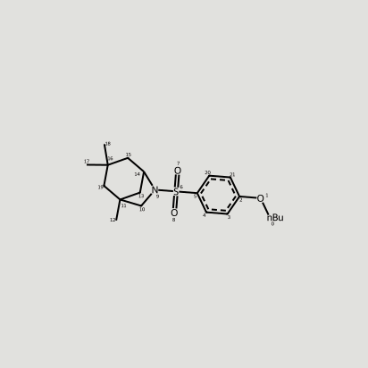 CCCCOc1ccc(S(=O)(=O)N2CC3(C)CC2CC(C)(C)C3)cc1